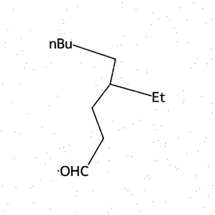 CCCCCC(CC)CC[C]=O